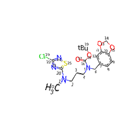 CN(CCCN(Cc1ccc2c(c1)OCO2)C(=O)OC(C)(C)C)c1nc(Cl)ns1